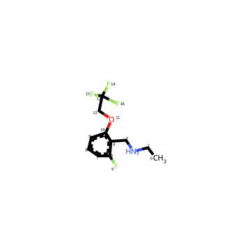 CCNCc1c(F)cccc1OCC(F)(F)F